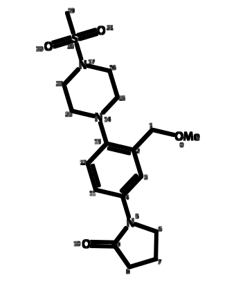 COCc1cc(N2CCCC2=O)ccc1N1CCN(S(C)(=O)=O)CC1